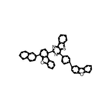 c1ccc2cc(-c3ccc(-c4nc(-c5ccc(-c6ccc7oc8ccccc8c7c6)cc5)c5sc6ccccc6c5n4)c4c3oc3ccccc34)ccc2c1